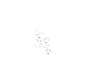 Cc1ncc(C(=O)Nc2cccc(C(C)(C)C)c2)cc1-c1cc(C(=O)NC2CCOCC2)ccc1C(N)=O